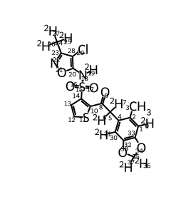 [2H]c1c(C)c(C([2H])([2H])C(=O)c2sccc2S(=O)(=O)N([2H])c2onc(C([2H])([2H])[2H])c2Cl)c([2H])c2c1OC([2H])([2H])O2